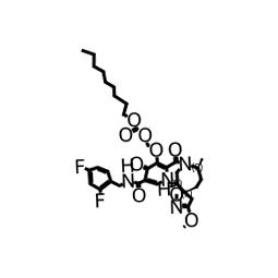 CCCCCCCCCOC(=O)OCOc1c2n(cc(C(=O)NCc3ccc(F)cc3F)c1=O)[C@@H]1CN(C2=O)[C@@H](C)CC[C@]12CC(OC)=NO2